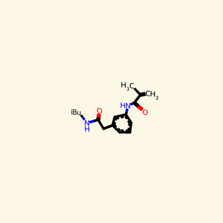 C=C(C)C(=O)Nc1cccc(CC(=O)NC(C)CC)c1